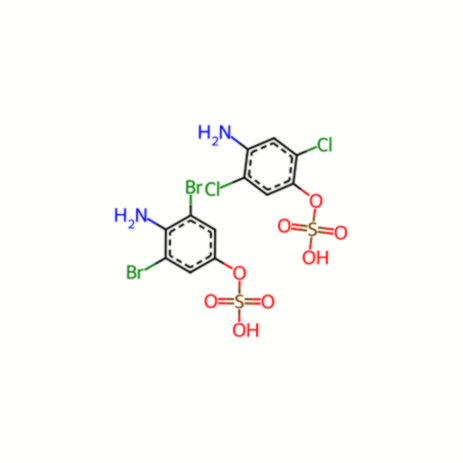 Nc1c(Br)cc(OS(=O)(=O)O)cc1Br.Nc1cc(Cl)c(OS(=O)(=O)O)cc1Cl